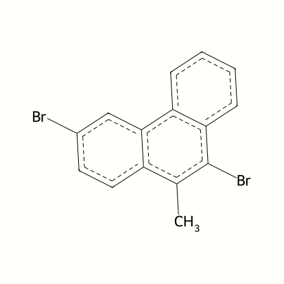 Cc1c(Br)c2ccccc2c2cc(Br)ccc12